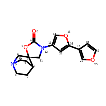 O=C1O[C@]2(CN3CCC2CC3)CN1c1coc(-c2ccoc2)c1